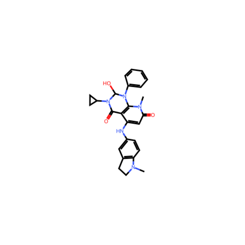 CN1CCc2cc(Nc3cc(=O)n(C)c4c3C(=O)N(C3CC3)C(O)N4c3ccccc3)ccc21